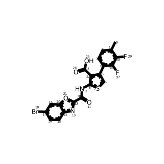 Cc1ccc(-c2csc(NC(=O)c3nc4ccc(Br)cc4o3)c2C(=O)O)c(F)c1F